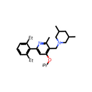 CCc1cccc(CC)c1-c1cc(OC(C)C)c(CN2CC(C)CC(C)C2)c(C)n1